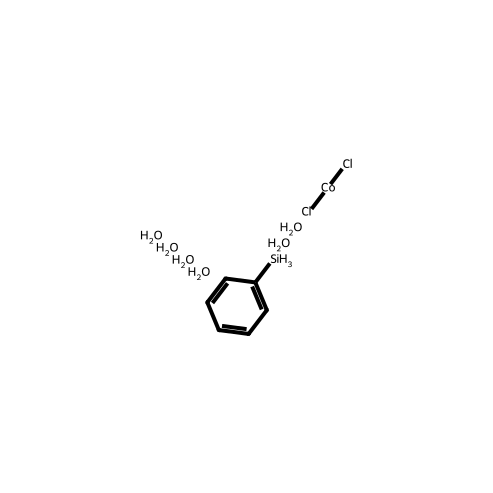 O.O.O.O.O.O.[Cl][Co][Cl].[SiH3]c1ccccc1